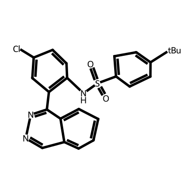 CC(C)(C)c1ccc(S(=O)(=O)Nc2ccc(Cl)cc2-c2nncc3ccccc23)cc1